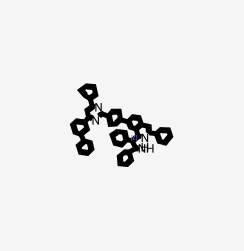 N=C(/C(=C1\NC(c2ccccc2)=Cc2ccc(-c3ccc(-c4nc(-c5ccccc5)cc(-c5cccc(-c6ccccc6)c5)n4)cc3)cc21)c1ccccc1)c1ccccc1